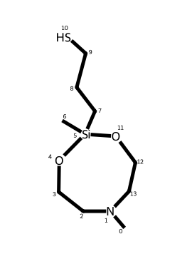 CN1CCO[Si](C)(CCCS)OCC1